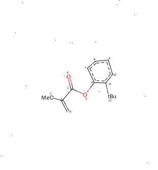 C=C(OC)C(=O)Oc1ccccc1C(C)(C)C